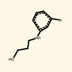 OCCCNc1cccc(Br)c1